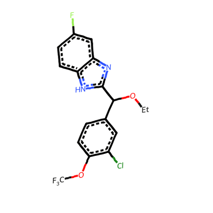 CCOC(c1ccc(OC(F)(F)F)c(Cl)c1)c1nc2cc(F)ccc2[nH]1